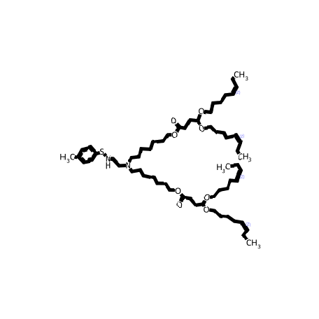 CC/C=C\CCCCOC(CCC(=O)OCCCCCCCN(CCCCCCCOC(=O)CCC(OCCCC/C=C\CC)OCCCC/C=C\CC)CCNSc1ccc(C)cc1)OCCCC/C=C\CC